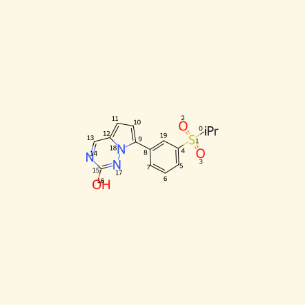 CC(C)S(=O)(=O)c1cccc(-c2ccc3cnc(O)nn23)c1